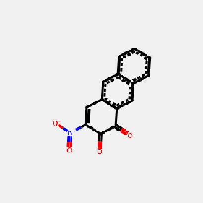 O=C1C(=O)c2cc3ccccc3cc2C=C1[N+](=O)[O-]